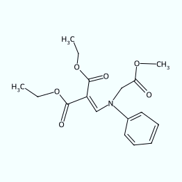 CCOC(=O)C(=CN(CC(=O)OC)c1ccccc1)C(=O)OCC